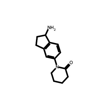 NC1CCc2cc(N3CCCCC3=O)ccc21